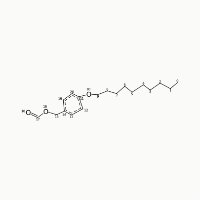 CCCCCCCCCCOc1ccc(COC=O)cc1